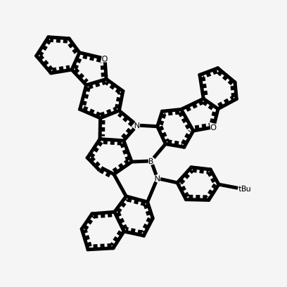 CC(C)(C)c1ccc(N2B3c4cc5oc6ccccc6c5cc4-n4c5cc6oc7ccccc7c6cc5c5ccc(c3c54)-c3c2ccc2ccccc32)cc1